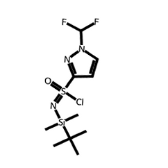 CC(C)(C)[Si](C)(C)N=S(=O)(Cl)c1ccn(C(F)F)n1